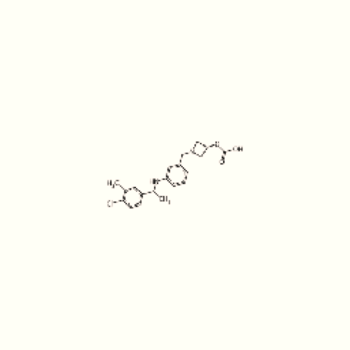 Cc1cc(C(C)Nc2cccc(CN3CC(OC(=O)O)C3)c2)ccc1Cl